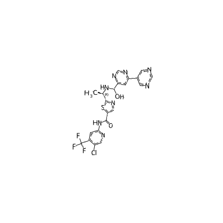 C[C@@H](NC(O)c1cc(-c2cncnc2)ncn1)c1ncc(C(=O)Nc2cc(C(F)(F)F)c(Cl)cn2)s1